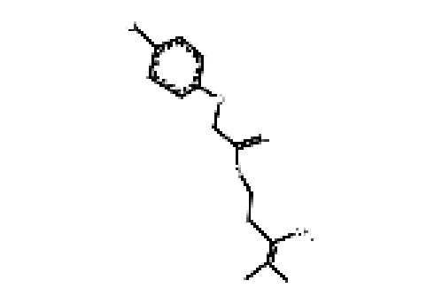 CC(C)=C(N)CCNC(=O)COc1ccc(Cl)cc1